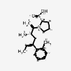 C=C([C@@H](N)C/C(=C/C)c1ccccc1C)N1CCC[C@H]1S(=O)O